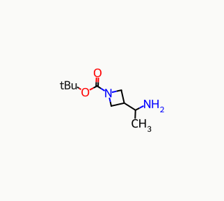 CC(N)C1CN(C(=O)OC(C)(C)C)C1